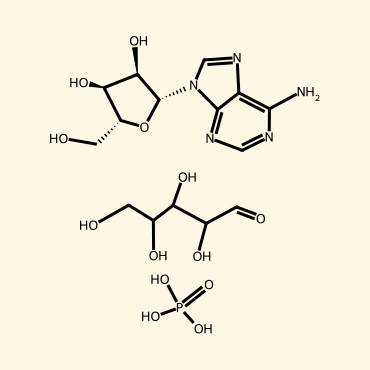 Nc1ncnc2c1ncn2[C@@H]1O[C@H](CO)[C@@H](O)[C@H]1O.O=CC(O)C(O)C(O)CO.O=P(O)(O)O